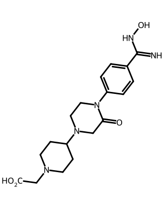 N=C(NO)c1ccc(N2CCN(C3CCN(CC(=O)O)CC3)CC2=O)cc1